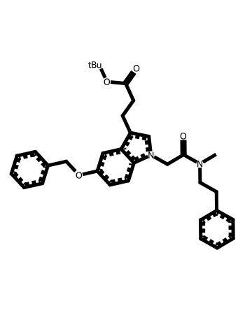 CN(CCc1ccccc1)C(=O)Cn1cc(CCC(=O)OC(C)(C)C)c2cc(OCc3ccccc3)ccc21